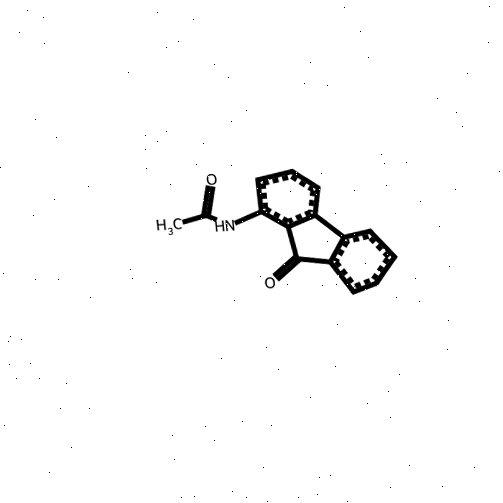 CC(=O)Nc1cccc2c1C(=O)c1ccccc1-2